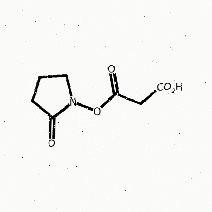 O=C(O)CC(=O)ON1CCCC1=O